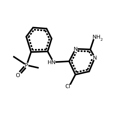 CP(C)(=O)c1ccccc1Nc1nc(N)ncc1Cl